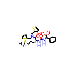 CCCC[C@H](NC(=O)N[C@@H](C(=O)O)c1ccccc1)C(=O)N(Cc1cccs1)Cc1cccs1